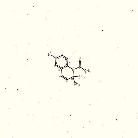 CC(=O)N1c2ccc(Br)cc2C=CC1(C)C